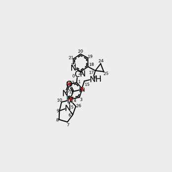 N#Cc1ccc(N2C3CCC2CN(C(=O)CCNC2(c4cccnc4)CC2)C3)nc1